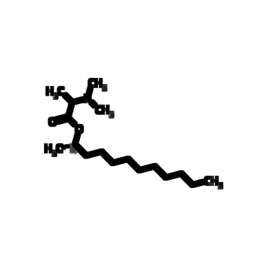 CCCCCCCCCC[C@H](C)OC(=O)C(C)N(C)C